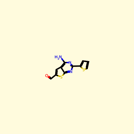 Nc1nc(-c2cccs2)nc2sc(C=O)cc12